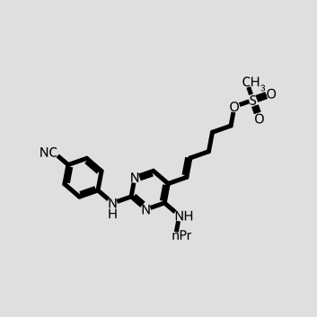 CCCNc1nc(Nc2ccc(C#N)cc2)ncc1C=CCCCOS(C)(=O)=O